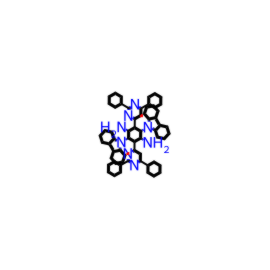 Nc1c(-c2cc(-c3ccccc3)nc(-c3ccccc3)n2)c(-n2c3ccccc3c3ccccc32)c(N)c(-c2cc(-c3ccccc3)nc(-c3ccccc3)n2)c1-n1c2ccccc2c2ccccc21